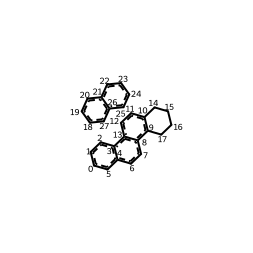 c1ccc2c(c1)ccc1c3c(ccc12)CCCC3.c1ccc2ccccc2c1